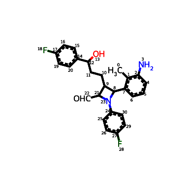 Cc1c(N)cccc1C1C(CCC(O)c2ccc(F)cc2)C(C=O)N1c1ccc(F)cc1